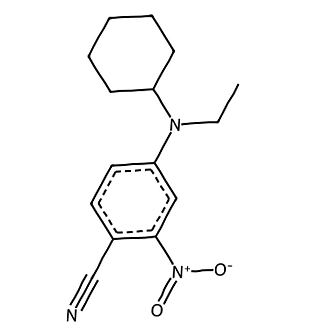 CCN(c1ccc(C#N)c([N+](=O)[O-])c1)C1CCCCC1